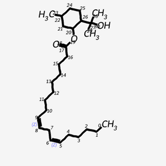 CCCCC/C=C\C/C=C\CCCCCCCC(=O)OC1CC(C)CCC1C(C)(C)O